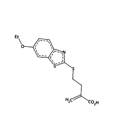 C=C(CCSc1nc2ccc(OCC)cc2s1)C(=O)O